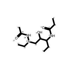 CCC(=O)NC(CC)C(O)CN(CC)NC(C)=O